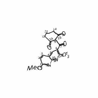 COc1ccc2cc(C(=O)C3C(=O)CCCC3=O)c(C(F)(F)F)nc2n1